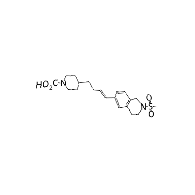 CS(=O)(=O)N1CCc2cc(C=CCCC3CCN(C(=O)O)CC3)ccc2C1